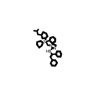 CC(C)Cc1cccc([Si](Cn2ccnc2BC(=Cc2ccccc2)c2ccccc2)(c2ccccc2)c2ccccc2)c1